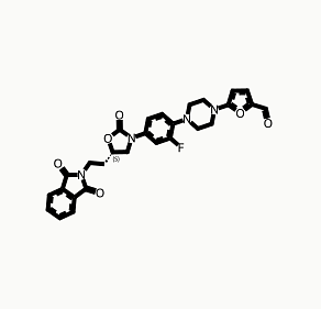 O=Cc1ccc(N2CCN(c3ccc(N4C[C@H](CCN5C(=O)c6ccccc6C5=O)OC4=O)cc3F)CC2)o1